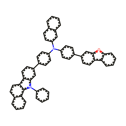 c1ccc(-n2c3cc(-c4ccc(N(c5ccc(-c6ccc7c(c6)oc6ccccc67)cc5)c5ccc6ccccc6c5)cc4)ccc3c3ccc4ccccc4c32)cc1